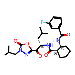 CC(C)C[C@H](NC(=O)[C@@H]1CCCC[C@@H]1NC(=O)c1cccc(F)c1)C(=O)c1nn(CC(C)C)c(=O)o1